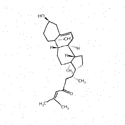 CC(C)=CC(=O)C[C@@H](C)[C@H]1CC[C@H]2[C@@H]3CC=C4C[C@H](O)CC[C@]4(C)[C@H]3CC[C@]12C